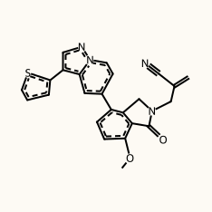 C=C(C#N)CN1Cc2c(-c3ccn4ncc(-c5cccs5)c4c3)ccc(OC)c2C1=O